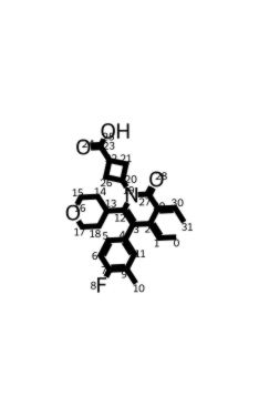 C/C=c1/c(-c2ccc(F)c(C)c2)c(C2CCOCC2)n(C2CC(C(=O)O)C2)c(=O)/c1=C/C